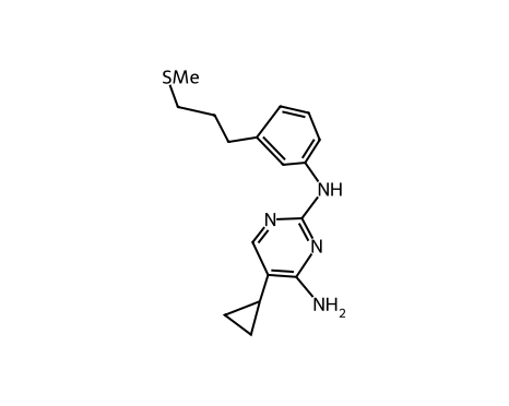 CSCCCc1cccc(Nc2ncc(C3CC3)c(N)n2)c1